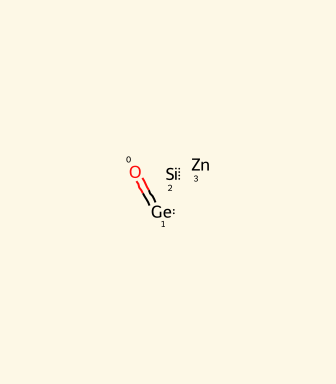 [O]=[Ge].[Si].[Zn]